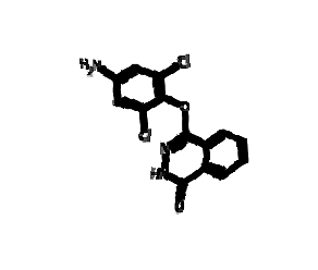 Nc1cc(Cl)c(Oc2n[nH]c(=O)c3ccccc23)c(Cl)c1